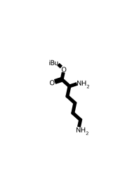 CCC(C)OC(=O)C(N)CCCCN